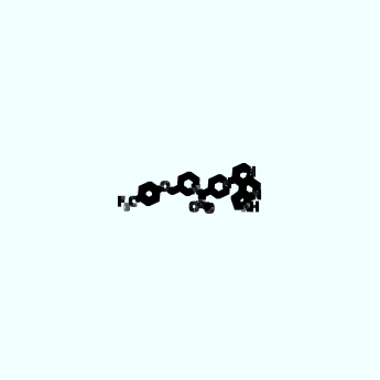 O=S(=O)=C(C1CCN(c2ccnc3cnc4[nH]ccc4c23)CC1)N1CCCC(COc2ccc(C(F)(F)F)cc2)C1